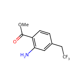 COC(=O)c1ccc(CC(F)(F)F)cc1N